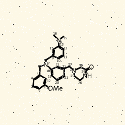 COc1cccc(CN(Cc2cccc(N(C)C)c2)c2cccc(CN3CCNC(=O)C3)c2)c1